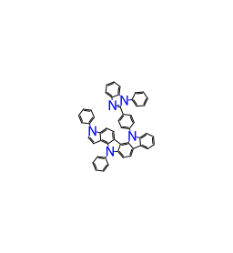 c1ccc(-n2ccc3c2ccc2c4c(ccc5c6ccccc6n(-c6ccc(-c7nc8ccccc8n7-c7ccccc7)cc6)c54)n(-c4ccccc4)c23)cc1